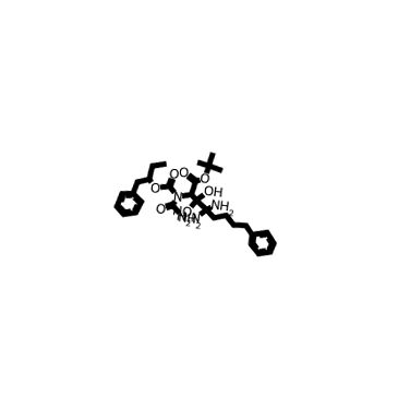 CCC(Cc1ccccc1)OC(=O)N(C(N)=O)C(C(=O)OC(C)(C)C)C(O)(O)C(N)(N)CCCCc1ccccc1